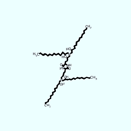 CCCCCCCCCCCCC(O)CN(CCCCC1NC(=O)C(CCCCN(CC(O)CCCCCCCCCCCC)CC(O)CCCCCCCCCCCC)NC1=O)CC(O)CCCCCCCCCCCC